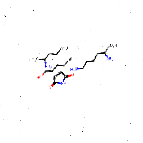 CCCCCCCCCCCCCCO.NC(CCC(=O)O)C(=O)O.NCCCCC(N)C(=O)O.O=C1C=CC(=O)N1